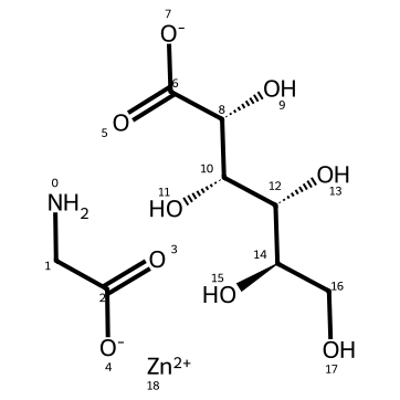 NCC(=O)[O-].O=C([O-])[C@H](O)[C@@H](O)[C@H](O)[C@H](O)CO.[Zn+2]